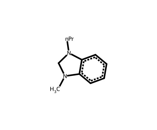 CCCN1CN(C)c2ccccc21